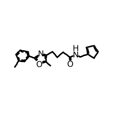 Cc1cccc(-c2nc(CCCC(=O)NCC3=CC=CC3)c(C)o2)c1